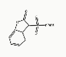 CCCCCS(=O)(=O)C1C(=O)OC2=CC=CCC21